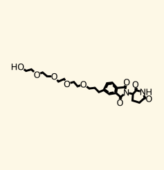 O=C1CCC(N2C(=O)c3ccc(CCCOCCOCCOCCOCCO)cc3C2=O)C(=O)N1